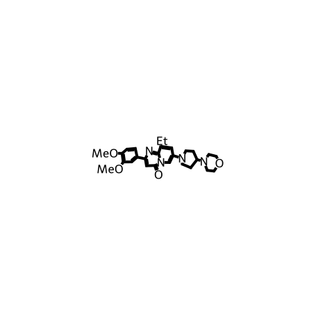 CCc1cc(N2CCC(N3CCOCC3)CC2)cn2c(=O)cc(-c3ccc(OC)c(OC)c3)nc12